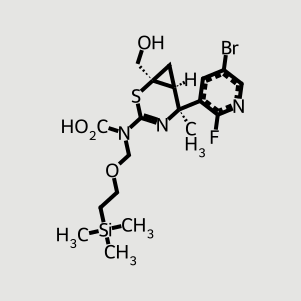 C[C@]1(c2cc(Br)cnc2F)N=C(N(COCC[Si](C)(C)C)C(=O)O)S[C@@]2(CO)C[C@H]21